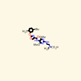 COc1nc(NCCN(C)C(=O)O)nc(OC)c1NC(=O)c1coc(Oc2cc(C(C)(C)C)ccc2C)n1